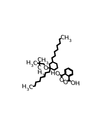 CCCCCCCCC1CCCC(CCCCCCCC)(OCC(C)(C)C)C1.O=C(O)c1ccccc1C(=O)O